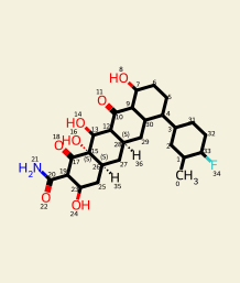 CC1CC(C2CCC(O)C3C(=O)C4C(O)[C@]5(O)C(=O)C(C(N)=O)C(O)C[C@@H]5C[C@@H]4CC23)CCC1F